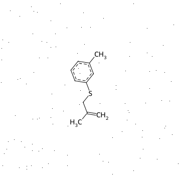 C=C(C)CSc1cccc(C)c1